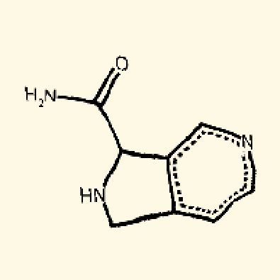 NC(=O)C1NCc2ccncc21